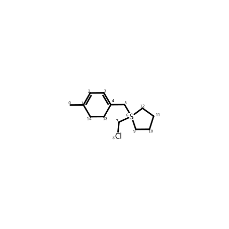 CC1=CC=C(CS2(CCl)CCCC2)CC1